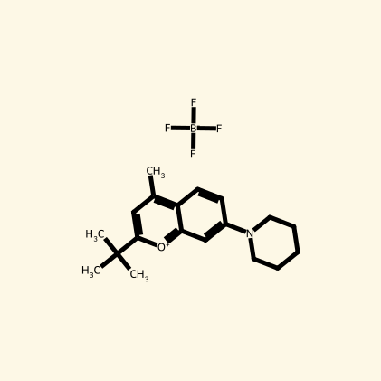 Cc1cc(C(C)(C)C)[o+]c2cc(N3CCCCC3)ccc12.F[B-](F)(F)F